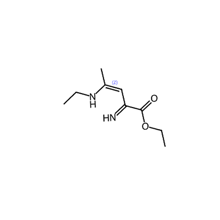 CCN/C(C)=C\C(=N)C(=O)OCC